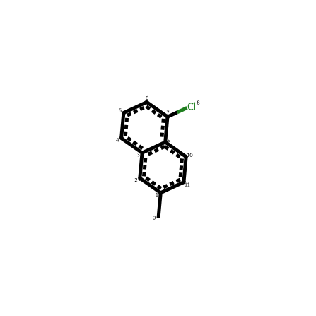 Cc1[c]c2cccc(Cl)c2cc1